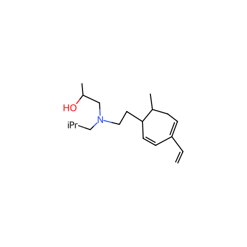 C=CC1=CCC(C)C(CCN(CC(C)C)CC(C)O)C=C1